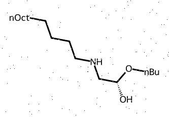 CCCCCCCCCCCCNC[C@@H](O)OCCCC